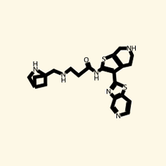 O=C(CCNCC12CC(CN1)C2)Nc1sc2c(c1-c1nc3cnccc3s1)CCNC2